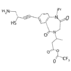 CC(CC(=O)OC(=O)C(F)(F)F)N1CC(=O)N(C(C)C)c2ccc(C#CC(S)CN)cc2C1=O